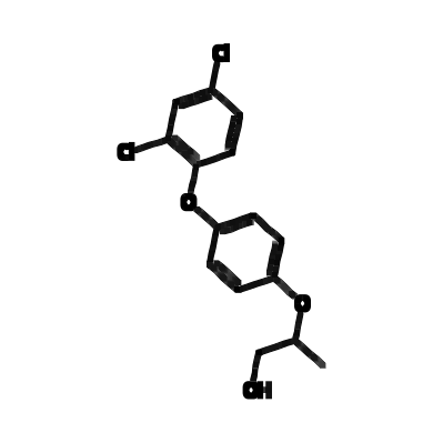 CC(CO)Oc1ccc(Oc2ccc(Cl)cc2Cl)cc1